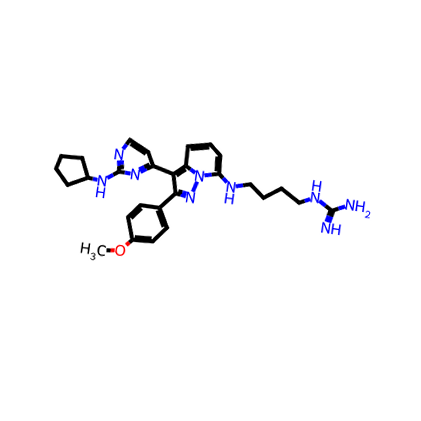 COc1ccc(-c2nn3c(NCCCCNC(=N)N)cccc3c2-c2ccnc(NC3CCCC3)n2)cc1